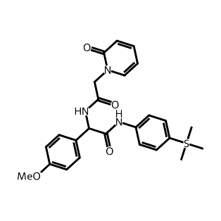 COc1ccc(C(NC(=O)Cn2ccccc2=O)C(=O)Nc2ccc(S(C)(C)C)cc2)cc1